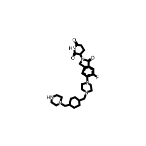 O=C1CCC(N2Cc3cc(N4CCN(CC5CCC(CN6CCNCC6)CC5)CC4)c(F)cc3C2=O)C(=O)N1